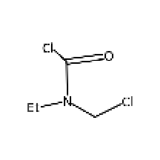 CCN(CCl)C(=O)Cl